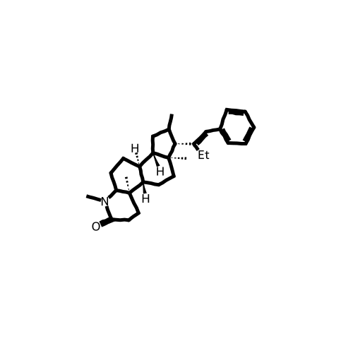 CCC(=Cc1ccccc1)[C@H]1C(C)C[C@H]2[C@@H]3CCC4N(C)C(=O)CC[C@]4(C)[C@H]3CC[C@]12C